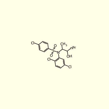 CCCC(O)C(C)N(c1cc(Cl)ccc1Cl)S(=O)(=O)c1ccc(Cl)cc1